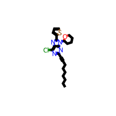 CCCCCCCC#Cc1nc(Cl)c2nc(-c3cccs3)n(C3CCCCO3)c2n1